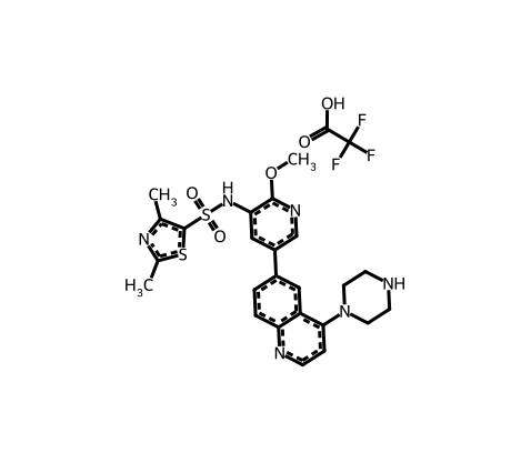 COc1ncc(-c2ccc3nccc(N4CCNCC4)c3c2)cc1NS(=O)(=O)c1sc(C)nc1C.O=C(O)C(F)(F)F